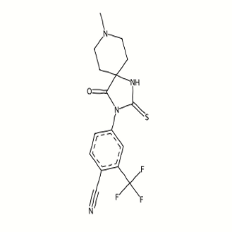 CN1CCC2(CC1)NC(=S)N(c1ccc(C#N)c(C(F)(F)F)c1)C2=O